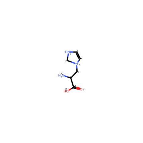 NC(CN1C=CNC1)C(=O)O